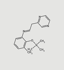 Cc1cccc(N=CCc2cnccn2)c1O[Si](C)(C)C